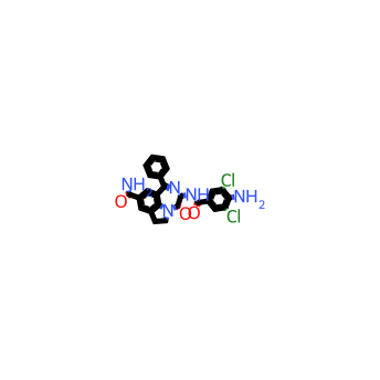 NC(=O)c1cc2c3c(c1)C(c1ccccc1)=NC(NC(=O)c1cc(Cl)c(N)c(Cl)c1)C(=O)N3CC2